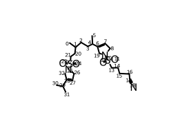 CC(CCC(C)C1=CCN(S(=O)(=O)CCCCC#N)C1)CCS(=O)(=O)N1CC=C(C(C)C)C1